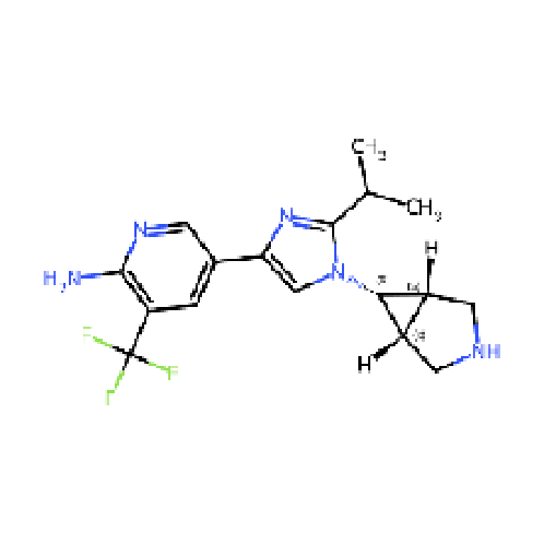 CC(C)c1nc(-c2cnc(N)c(C(F)(F)F)c2)cn1[C@@H]1[C@@H]2CNC[C@@H]21